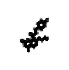 C=CCOc1ccc2c(C)cc(=O)oc2c1C(=O)C=Cc1ccc(Cl)cc1